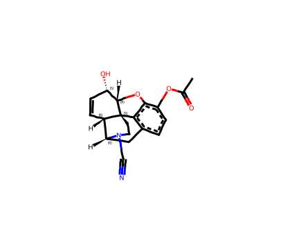 CC(=O)Oc1ccc2c3c1O[C@H]1[C@@H](O)C=C[C@H]4[C@@H](C2)N(C#N)CC[C@@]341